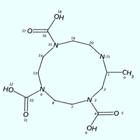 CC1CN(C(=O)O)CCN(C(=O)O)CCN(C(=O)O)CC[N]1